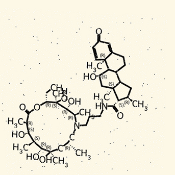 CC[C@H]1OC(=O)[C@H](C)[C@@H](O)[C@H](C)[C@@H](O)[C@](C)(O)C[C@@H](C)CN(CCCNC(=O)[C@H]2[C@H](C)CC3C4CCC5=CC(=O)C=C[C@]5(C)C4[C@@H](O)C[C@@]32C)[C@H](C)[C@@H](O)[C@]1(C)O